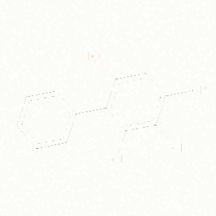 Oc1cc(Cl)c(Cl)c(Cl)c1-c1ccccc1